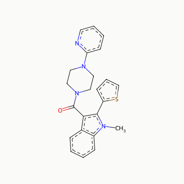 Cn1c(-c2cccs2)c(C(=O)N2CCN(c3ccccn3)CC2)c2ccccc21